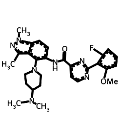 COc1cccc(F)c1-c1nccc(C(=O)Nc2ccc3c(c(C)nn3C)c2N2CCC(N(C)C)CC2)n1